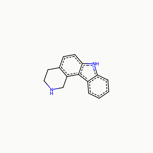 c1ccc2c(c1)[nH]c1ccc3c(c12)CNCC3